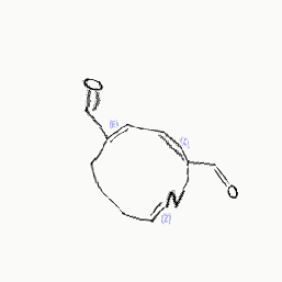 O=CC1=C/C=C(/C=O)CCC/C=N\1